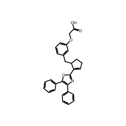 O=C(O)COc1cccc(CC2CCC=C2c2nc(-c3ccccc3)c(-c3ccccc3)o2)c1